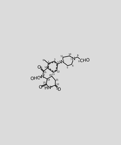 Cc1cc(N2CCN(CC=O)CC2)ccc1C(=O)N(C=O)C1CCC(=O)NC1=O